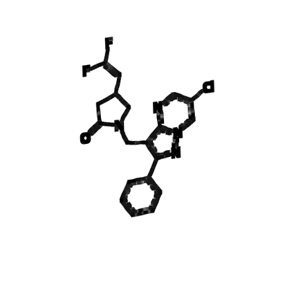 O=C1CC(C=C(F)F)CN1Cc1c(-c2ccccc2)nn2cc(Cl)cnc12